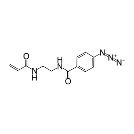 C=CC(=O)NCCNC(=O)c1ccc(N=[N+]=[N-])cc1